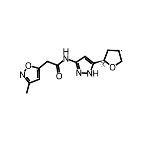 Cc1cc(CC(=O)Nc2cc([C@H]3C[CH]CO3)[nH]n2)on1